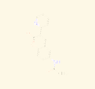 O=CC(=O)Nc1ccc2oc(=O)c(-c3ccccn3)cc2c1